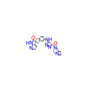 O=C(c1cc(Nc2ccc3c(c2)CC2(C3)C(=O)Nc3ncccc32)ncn1)N1CCn2cccc2C1